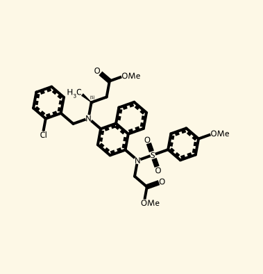 COC(=O)C[C@H](C)N(Cc1ccccc1Cl)c1ccc(N(CC(=O)OC)S(=O)(=O)c2ccc(OC)cc2)c2ccccc12